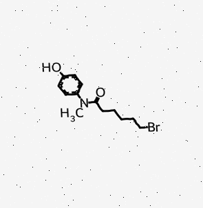 CN(C(=O)CCCCCBr)c1ccc(O)cc1